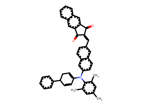 Cc1cc(C)c(N(C2=CCC(c3ccccc3)C=C2)c2ccc3cc(C=C4C(=O)c5cc6ccccc6cc5C4=O)ccc3c2)c(C)c1